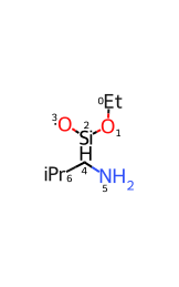 CCO[SiH]([O])C(N)C(C)C